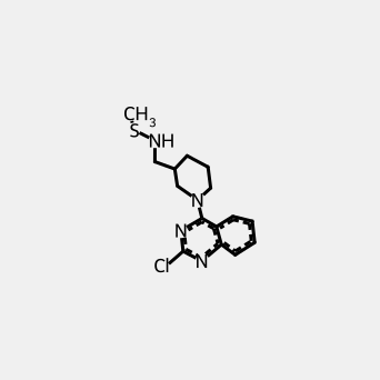 CSNCC1CCCN(c2nc(Cl)nc3ccccc23)C1